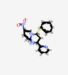 O=[N+]([O-])C1=CN2C(=NC(c3ccccn3)CC2Sc2ccccc2)C=C1